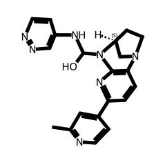 Cc1cc(-c2ccc3c(n2)N(C(O)Nc2ccnnc2)[C@H]2CCN3C2)ccn1